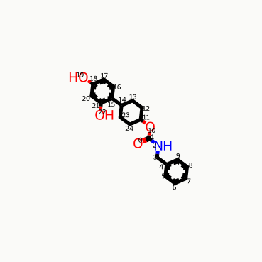 O=C(NCc1ccccc1)OC1CCC(c2ccc(O)cc2O)CC1